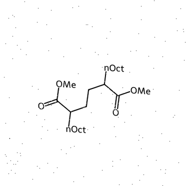 CCCCCCCCC(CCC(CCCCCCCC)C(=O)OC)C(=O)OC